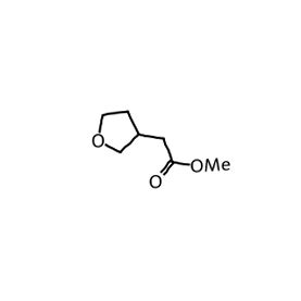 COC(=O)CC1CCOC1